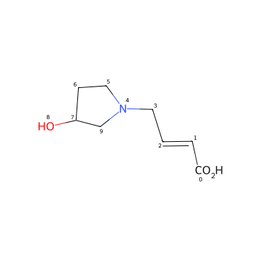 O=C(O)C=CCN1CCC(O)C1